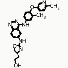 Cc1ccc(Oc2ccc(Nc3ncnc4ccc(NC5=N[C@@H](CCO)CO5)cc34)cc2C)cn1